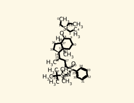 CC[Si](CC)(CC)O[C@H]1CCC[C@]2(C)[C@@H]([C@H](C)CCS(=O)(=N[Si](C)(C)C(C)(C)C)c3ccccc3)CC[C@@H]12